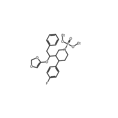 CCOP(=O)(OCC)N1CCC(c2ccc(F)cc2)C(C(Cc2ccccc2)OC2=COCO2)C1